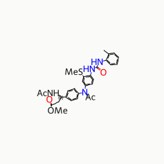 COC(=O)C[C@@H](NC(C)=O)c1ccc(N(C(C)=O)c2ccc(NC(=O)Nc3ccccc3C)c(SC)c2)cc1